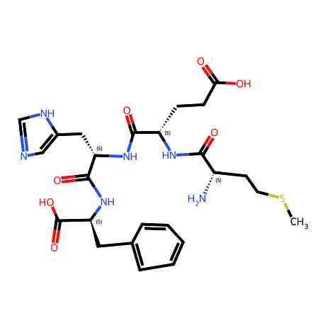 CSCC[C@H](N)C(=O)N[C@@H](CCC(=O)O)C(=O)N[C@@H](Cc1cnc[nH]1)C(=O)N[C@@H](Cc1ccccc1)C(=O)O